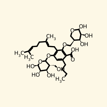 CCCCc1cc(OC2O[C@H](O)[C@@H](O)[C@H](O)[C@H]2CO)c(C/C=C(\C)CCC=C(C)C)c(OC[C@H]2CO[C@H](O)[C@@H](O)[C@@H]2O)c1C(=O)O